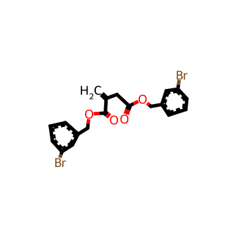 C=C(CC(=O)OCc1cccc(Br)c1)C(=O)OCc1cccc(Br)c1